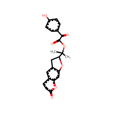 CC(C)(OC(=O)C(=O)c1ccc(O)cc1)C1Cc2cc3ccc(=O)oc3cc2O1